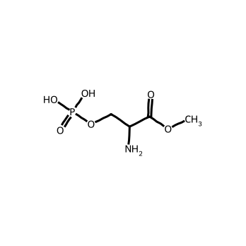 COC(=O)C(N)COP(=O)(O)O